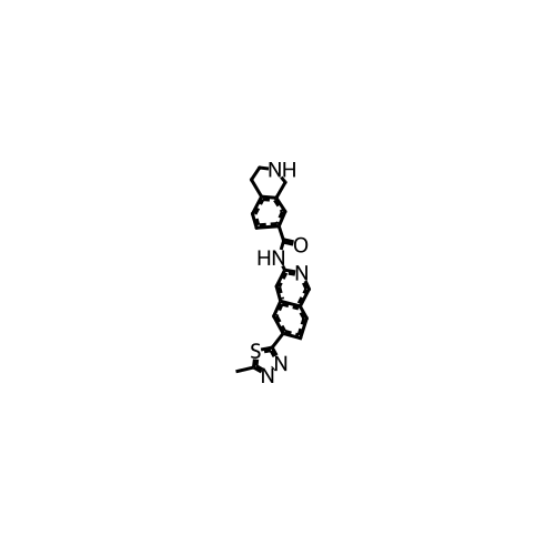 Cc1nnc(-c2ccc3cnc(NC(=O)c4ccc5c(c4)CNCC5)cc3c2)s1